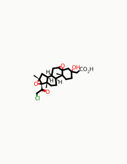 C[C@@]12C[C@H]3[C@@H]4CC5OC56C[C@](O)(CC(=O)O)CC[C@]6(C)[C@H]4CC[C@]3(C)[C@]1(C(=O)CCl)O2